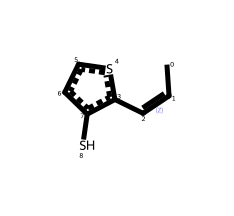 C/C=C\c1sccc1S